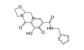 O=C(NCc1cccs1)c1cn2c(c(O)c1=O)C(=O)N1CCOC1C2